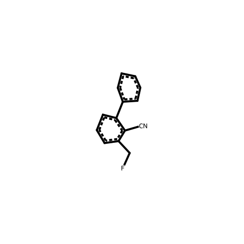 N#Cc1c(CF)cccc1-c1ccccc1